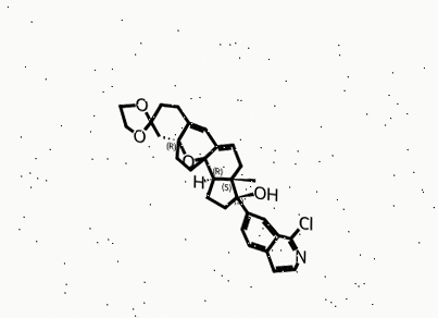 C[C@]12CC=C3C=C4CCC5(C[C@]46CCC3(O6)[C@@H]1CC[C@@]2(O)c1ccc2ccnc(Cl)c2c1)OCCO5